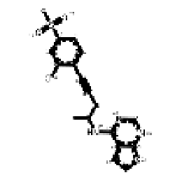 CC(CC#Cc1ccc(S(C)(=O)=O)cc1Cl)Nc1ncnc2sccc12